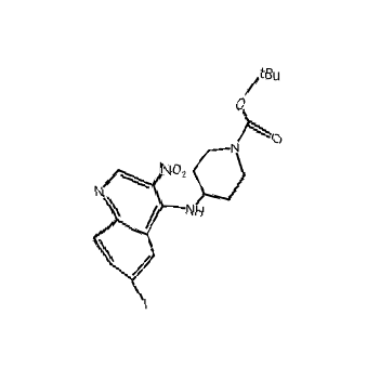 CC(C)(C)OC(=O)N1CCC(Nc2c([N+](=O)[O-])cnc3ccc(I)cc23)CC1